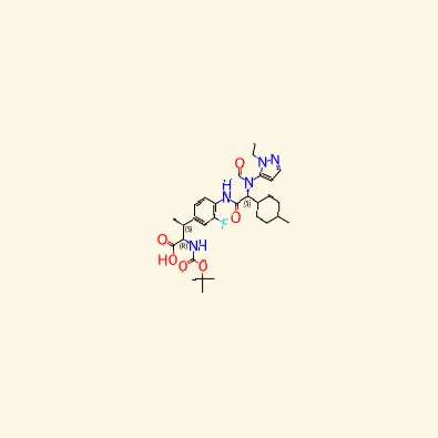 CCn1nccc1N(C=O)[C@H](C(=O)Nc1ccc([C@H](C)[C@@H](NC(=O)OC(C)(C)C)C(=O)O)cc1F)C1CCC(C)CC1